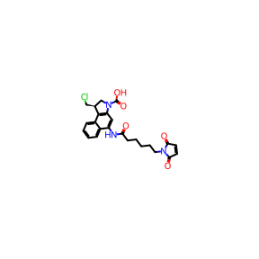 O=C(CCCCCN1C(=O)C=CC1=O)Nc1cc2c(c3ccccc13)[C@@H](CCl)CN2C(=O)O